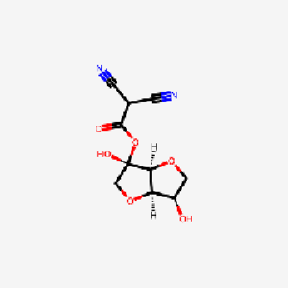 N#CC(C#N)C(=O)O[C@@]1(O)CO[C@@H]2[C@H](O)CO[C@@H]21